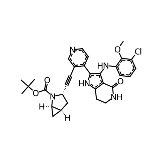 COc1c(Cl)cccc1Nc1c(-c2ccncc2C#C[C@@H]2C[C@H]3C[C@H]3N2C(=O)OC(C)(C)C)[nH]c2c1C(=O)NCC2